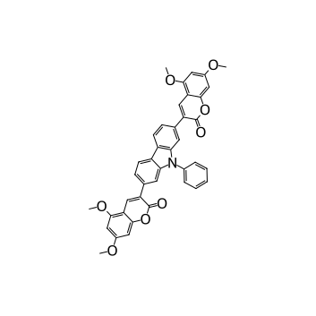 COc1cc(OC)c2cc(-c3ccc4c5ccc(-c6cc7c(OC)cc(OC)cc7oc6=O)cc5n(-c5ccccc5)c4c3)c(=O)oc2c1